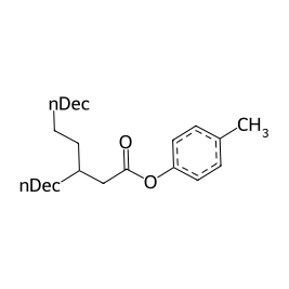 CCCCCCCCCCCCC(CCCCCCCCCC)CC(=O)Oc1ccc(C)cc1